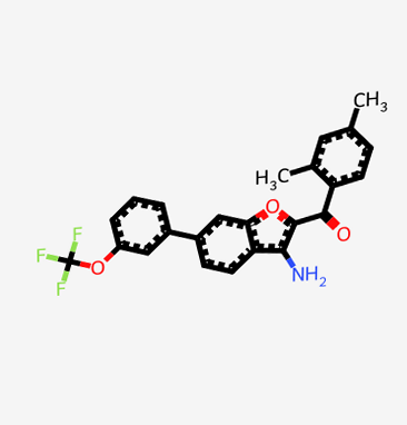 Cc1ccc(C(=O)c2oc3cc(-c4cccc(OC(F)(F)F)c4)ccc3c2N)c(C)c1